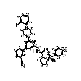 N#Cc1cccc(-c2cc(CNC(=O)[C@@H]3CCCN3S(=O)(=O)c3ccc(F)cc3)nc(N3CCN(c4ccccc4F)CC3)n2)c1